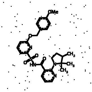 COc1ccc(COc2cccc(S(=O)(=O)NC(=O)c3cccnc3N3CCC(C)C3(C)C)n2)cc1